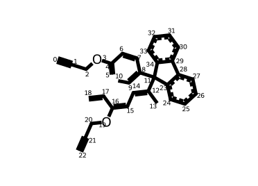 C#CCOC(=C)/C=C\C(=C/C)C1(/C(C)=C/C=C(\C=C)OCC#C)c2ccccc2-c2ccccc21